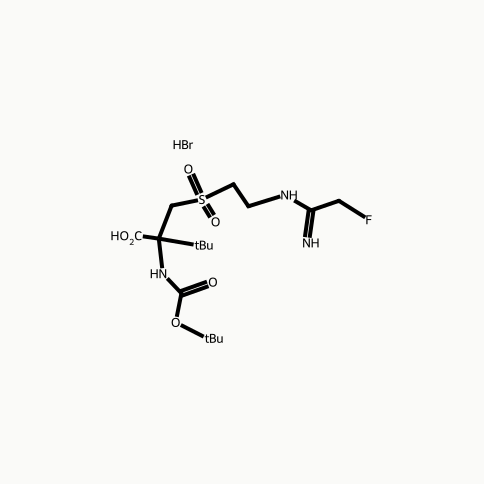 Br.CC(C)(C)OC(=O)NC(CS(=O)(=O)CCNC(=N)CF)(C(=O)O)C(C)(C)C